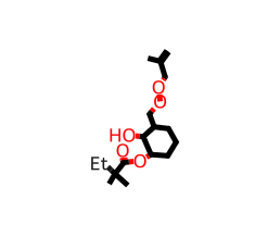 C=C(C)COOCC1CCCC(OC(=O)C(C)(C)CC)C1O